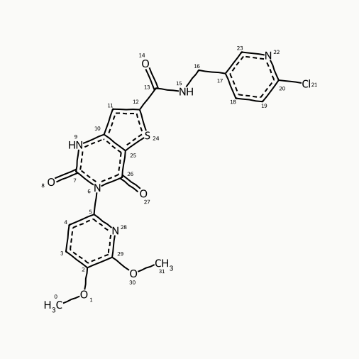 COc1ccc(-n2c(=O)[nH]c3cc(C(=O)NCc4ccc(Cl)nc4)sc3c2=O)nc1OC